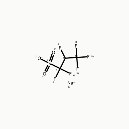 O=S(=O)([O-])C(F)(F)C(F)C(F)(F)F.[Na+]